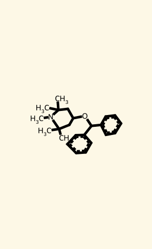 CN1C(C)(C)CC(OC(c2ccccc2)c2ccccc2)CC1(C)C